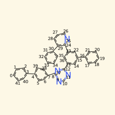 c1ccc(-c2ccc(-c3ncnc(-c4cc(-c5ccccc5)cc(-c5ncccc5-c5ccccc5)c4)n3)cc2)cc1